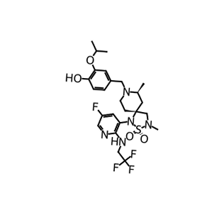 CC(C)Oc1cc(CN2CC[C@@]3(C[C@@H]2C)CN(C)S(=O)(=O)N3c2cc(F)cnc2NCC(F)(F)F)ccc1O